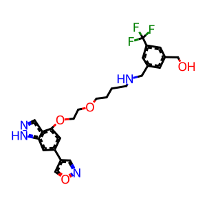 OCc1cc(CNCCCCOCCOc2cc(-c3cnoc3)cc3[nH]ncc23)cc(C(F)(F)F)c1